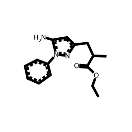 CCOC(=O)C(C)Cc1cc(N)n(-c2ccccc2)n1